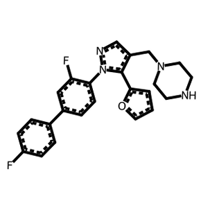 Fc1ccc(-c2ccc(-n3ncc(CN4CCNCC4)c3-c3ccco3)c(F)c2)cc1